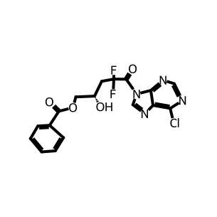 O=C(OC[C@@H](O)CC(F)(F)C(=O)n1cnc2c(Cl)ncnc21)c1ccccc1